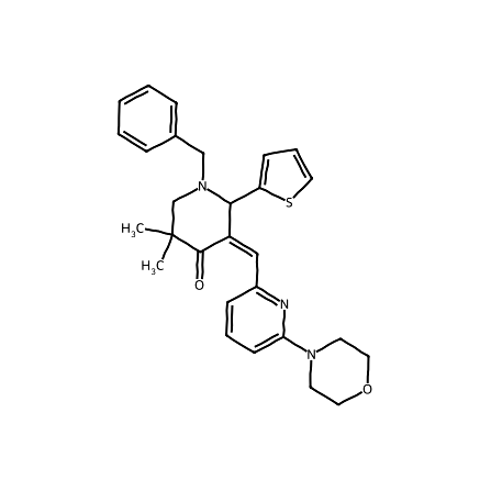 CC1(C)CN(Cc2ccccc2)C(c2cccs2)C(=Cc2cccc(N3CCOCC3)n2)C1=O